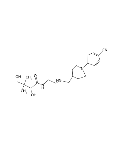 CC(C)(CO)[C@@H](O)C(=O)NCCNCC1CCN(c2ccc(C#N)cc2)CC1